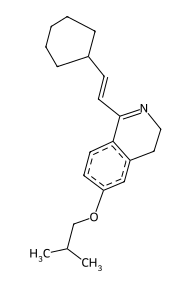 CC(C)COc1ccc2c(c1)CCN=C2C=CC1CCCCC1